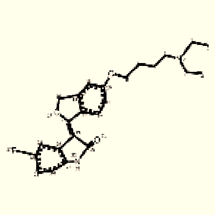 CCN(CC)CCCCOc1ccc2c(c1)CO/C2=C1/C(=O)Nc2ccc(F)cc21